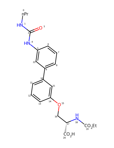 CCCNC(=O)Nc1cccc(-c2cccc(OC[C@H](NC(=O)OCC)C(=O)O)c2)c1